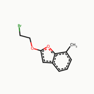 Cc1cccc2cc(OCCBr)oc12